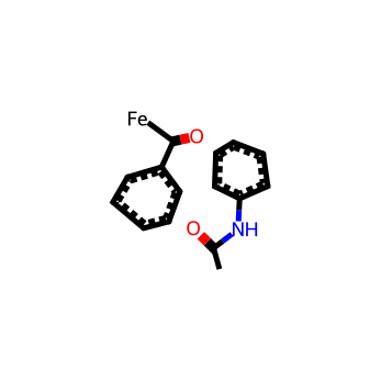 CC(=O)Nc1ccccc1.O=[C]([Fe])c1ccccc1